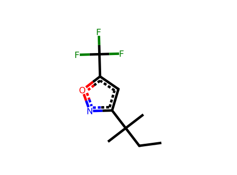 CCC(C)(C)c1cc(C(F)(F)F)on1